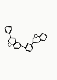 c1ccc(C2COc3ccc(-c4cccc(C5COc6ccccc6C5)c4)cc3C2)cc1